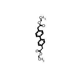 CCOC(=O)Cc1ccc(-c2ccc(CC(=O)OCC)cc2)cc1